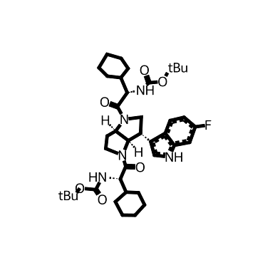 CC(C)(C)OC(=O)N[C@H](C(=O)N1CC[C@@H]2[C@H]1[C@@H](c1c[nH]c3cc(F)ccc13)CN2C(=O)[C@@H](NC(=O)OC(C)(C)C)C1CCCCC1)C1CCCCC1